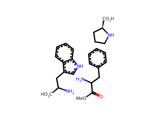 COC(=O)C(N)Cc1ccccc1.NC(Cc1c[nH]c2ccccc12)C(=O)O.O=C(O)[C@@H]1CCCN1